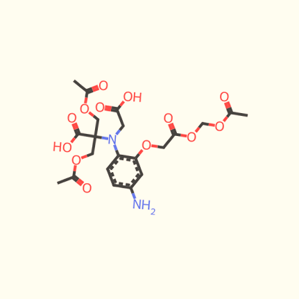 CC(=O)OCOC(=O)COc1cc(N)ccc1N(CC(=O)O)C(COC(C)=O)(COC(C)=O)C(=O)O